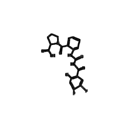 O=C(NC(=O)c1cc(F)c(F)cc1Cl)Nc1ccccc1C(=O)N1CCCC1C(=O)O